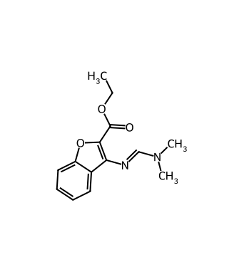 CCOC(=O)c1oc2ccccc2c1/N=C/N(C)C